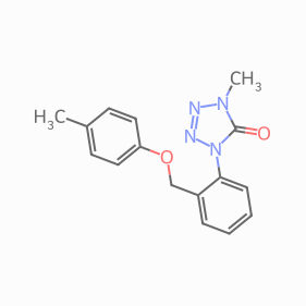 Cc1ccc(OCc2ccccc2-n2nnn(C)c2=O)cc1